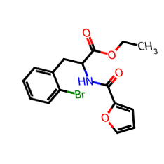 CCOC(=O)C(Cc1ccccc1Br)NC(=O)c1ccco1